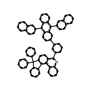 c1ccc(C2(c3ccccc3)c3ccccc3-c3c2ccc2c(-c4cccc(-c5ccc6c(-c7ccc8ccccc8c7)c7ccccc7c(-c7ccc8ccccc8c7)c6c5)c4)nc4ccccc4c32)cc1